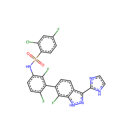 O=S(=O)(Nc1ccc(F)c(-c2ccc3c(-c4ncc[nH]4)n[nH]c3c2F)c1F)c1ccc(F)cc1Cl